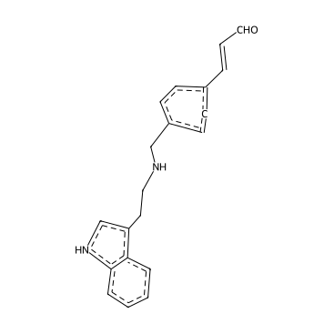 O=C/C=C/c1ccc(CNCCc2c[nH]c3ccccc23)cc1